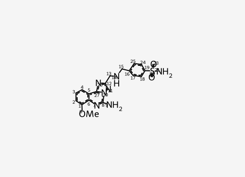 COc1cccc2c1nc(N)n1nc(CNCc3ccc(S(N)(=O)=O)cc3)nc21